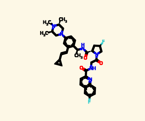 C[C@H](NC(=O)[C@@H]1C[C@@H](F)CN1C(=O)CNC(=O)c1ccc2cc(F)ccc2n1)c1ccc(N2C[C@@H](C)N(C)[C@H](C)C2)cc1/C=C/C1CC1